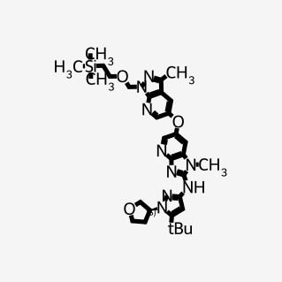 Cc1nn(COCC[Si](C)(C)C)c2ncc(Oc3cnc4nc(Nc5cc(C(C)(C)C)n([C@H]6CCOC6)n5)n(C)c4c3)cc12